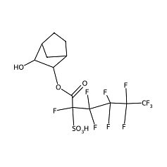 O=C(OC1C2CCC(C2)C1O)C(F)(C(F)(F)C(F)(F)C(F)(F)C(F)(F)F)S(=O)(=O)O